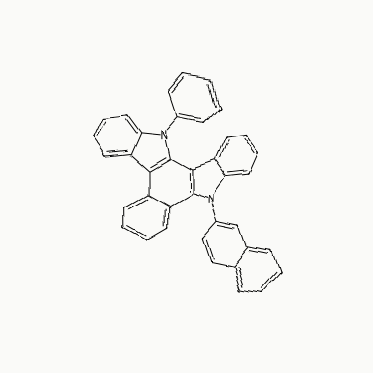 c1ccc(-n2c3ccccc3c3c4ccccc4c4c(c5ccccc5n4-c4ccc5ccccc5c4)c32)cc1